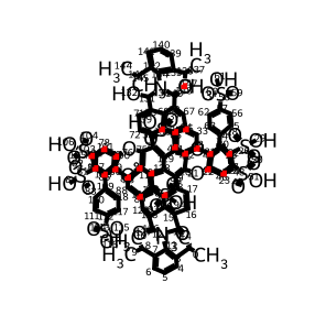 CC(C)c1cccc(C(C)C)c1N1C(=O)c2ccc3c4c(Oc5ccc(S(=O)(=O)O)cc5-c5ccc(S(=O)(=O)O)cc5)c(Oc5ccc(S(=O)(=O)O)cc5-c5ccc(S(=O)(=O)O)cc5)c5c6ccc7c8c(ccc(c9c(Oc%10ccc(S(=O)(=O)O)cc%10-c%10ccc(S(=O)(=O)O)cc%10)c(Oc%10ccc(S(=O)(=O)O)cc%10-c%10ccc(S(=O)(=O)O)cc%10)c(c%10ccc(c2c3%10)C1=O)c4c59)c86)C(O)N(c1c(C(C)C)cccc1C(C)C)C7=O